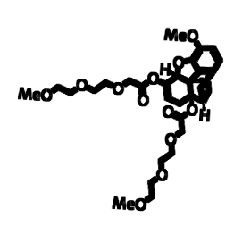 COCCOCCOCC(=O)OC1=CC[C@@]2(OC(=O)COCCOCCOC)[C@@H]3CCC[C@@]24c2c(ccc(OC)c2O[C@@H]14)C3